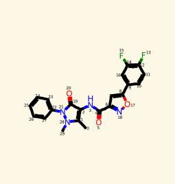 Cc1c(NC(=O)c2cc(-c3ccc(F)c(F)c3)on2)c(=O)n(-c2ccccc2)n1C